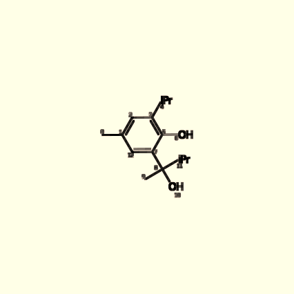 Cc1cc(C(C)C)c(O)c(C(C)(O)C(C)C)c1